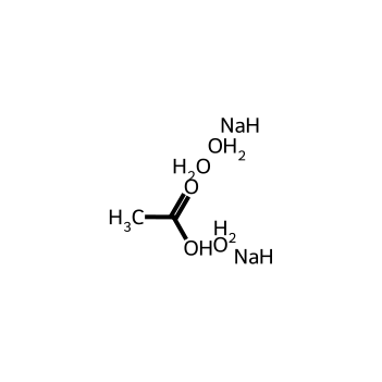 CC(=O)O.O.O.O.[NaH].[NaH]